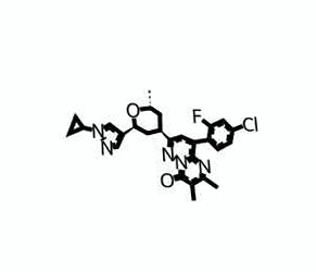 Cc1nc2c(-c3ccc(Cl)cc3F)cc([C@@H]3C[C@@H](C)O[C@H](c4cnn(C5CC5)c4)C3)nn2c(=O)c1C